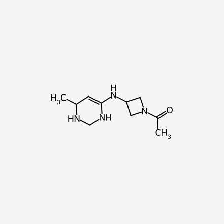 CC(=O)N1CC(NC2=CC(C)NCN2)C1